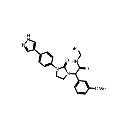 COc1cccc(C(C(=O)NCC(C)C)N2CCN(c3ccc(-c4cn[nH]c4)cc3)C2=O)c1